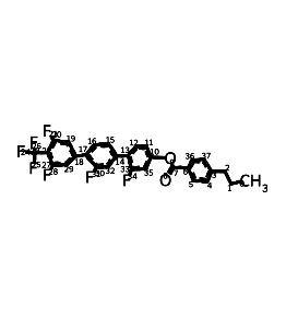 CCCc1ccc(C(=O)Oc2ccc(-c3ccc(-c4cc(F)c(C(F)(F)F)c(F)c4)c(F)c3)c(F)c2)cc1